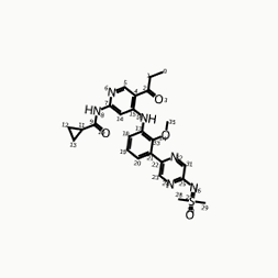 CCC(=O)c1cnc(NC(=O)C2CC2)cc1Nc1cccc(-c2cnc(N=S(C)(C)=O)cn2)c1OC